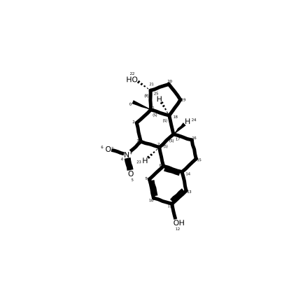 C[C@]12CC([N+](=O)[O-])[C@@H]3c4ccc(O)cc4CC[C@H]3[C@@H]1CC[C@H]2O